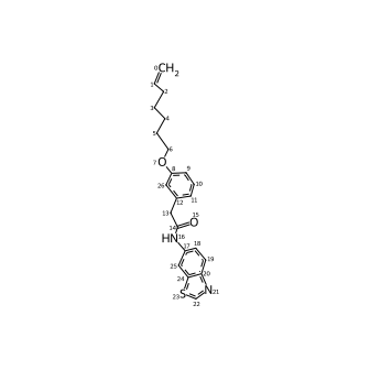 C=CCCCCCOc1cccc(CC(=O)Nc2ccc3ncsc3c2)c1